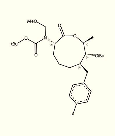 COCN(C(=O)OC(C)(C)C)[C@H]1CCC[C@H](Cc2ccc(F)cc2)[C@@H](OCC(C)C)[C@H](C)OC1=O